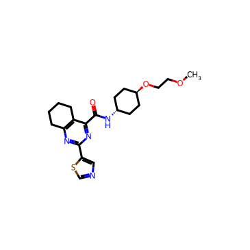 COCCO[C@H]1CC[C@H](NC(=O)c2nc(-c3cncs3)nc3c2CCCC3)CC1